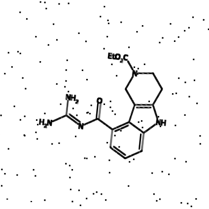 CCOC(=O)N1CCc2[nH]c3cccc(C(=O)N=C(N)N)c3c2C1